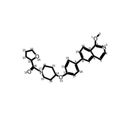 COc1nccc2cc(-c3ccc(OC4CCN(C(=O)C5CCCO5)CC4)cc3)ccc12